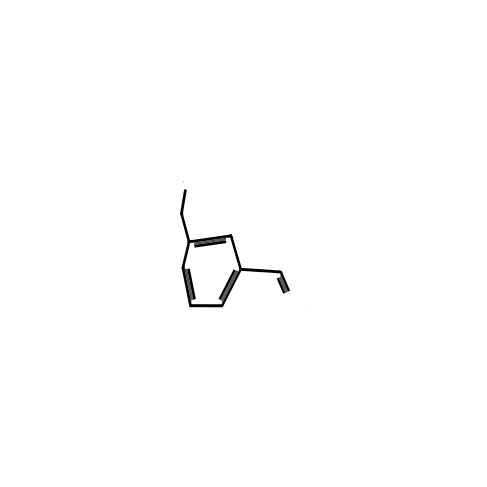 C=Cc1cccc([CH]C)c1